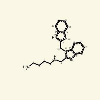 NCCCCNCc1nc2ccccc2n1Cc1nc2ccccc2[nH]1